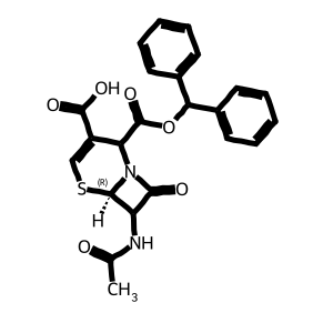 CC(=O)NC1C(=O)N2C(C(=O)OC(c3ccccc3)c3ccccc3)C(C(=O)O)=CS[C@H]12